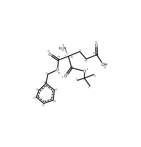 CC(C)(C)OC(=O)[C@](N)(CCC(=O)O)C(=O)OCc1ccccc1